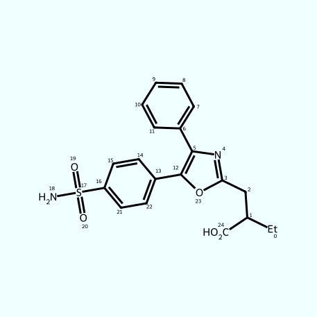 CCC(Cc1nc(-c2ccccc2)c(-c2ccc(S(N)(=O)=O)cc2)o1)C(=O)O